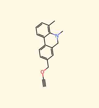 C#COCc1ccc2c(c1)CN(C)c1c(C)cccc1-2